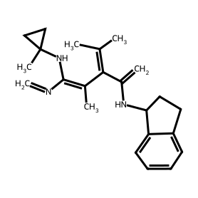 C=N/C(NC1(C)CC1)=C(\C)C(C(=C)NC1CCc2ccccc21)=C(C)C